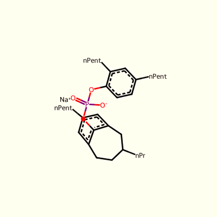 CCCCCc1ccc(OP(=O)([O-])Oc2c3cc(CCCCC)cc2CC(CCC)CC3)c(CCCCC)c1.[Na+]